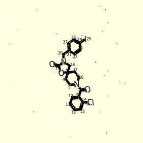 O=C1OC2(CCN(C(=O)c3ccccc3Cl)CC2)CN1Cc1ccc(I)cc1